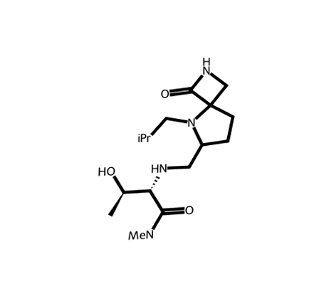 CNC(=O)[C@@H](NCC1CCC2(CNC2=O)N1CC(C)C)[C@@H](C)O